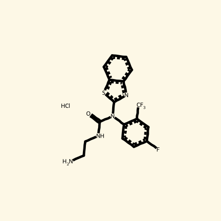 Cl.NCCNC(=O)N(c1nc2ccccc2s1)c1ccc(F)cc1C(F)(F)F